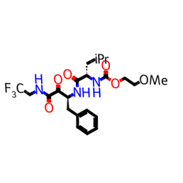 COCCOC(=O)N[C@@H](CC(C)C)C(=O)N[C@@H](Cc1ccccc1)C(=O)C(=O)NCC(F)(F)F